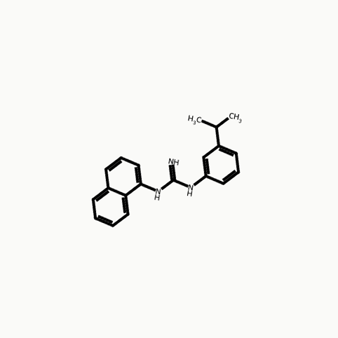 CC(C)c1cccc(NC(=N)Nc2cccc3ccccc23)c1